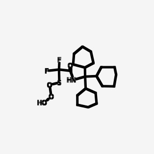 O=C(NC(C1CCCCC1)(C1CCCCC1)C1CCCCC1)C(F)(F)SOOO